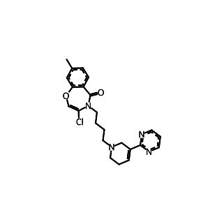 Cc1ccc2c(c1)OC=C(Cl)N(CCCCN1CCC=C(c3ncccn3)C1)C2=O